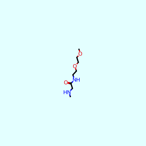 CNCC(=O)NCCOCCOC